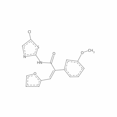 COc1cccc(/C(=C/c2ccco2)C(=O)Nc2ncc(Cl)s2)c1